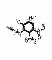 [N-]=[N+]=Nc1c([O-])ccc([N+](=O)[O-])c1[N+](=O)[O-].[Na+]